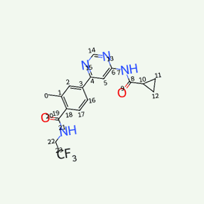 Cc1cc(-c2cc(NC(=O)C3CC3)ncn2)ccc1C(=O)NCC(F)(F)F